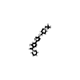 C=C(c1ccc(-c2ccc(OCC3CCN(CC(C)(C)F)CC3)cn2)cc1F)N1CCCCC1